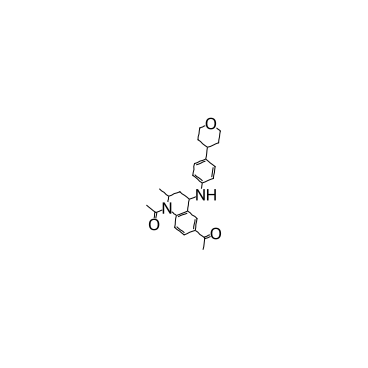 CC(=O)c1ccc2c(c1)C(Nc1ccc(C3CCOCC3)cc1)CC(C)N2C(C)=O